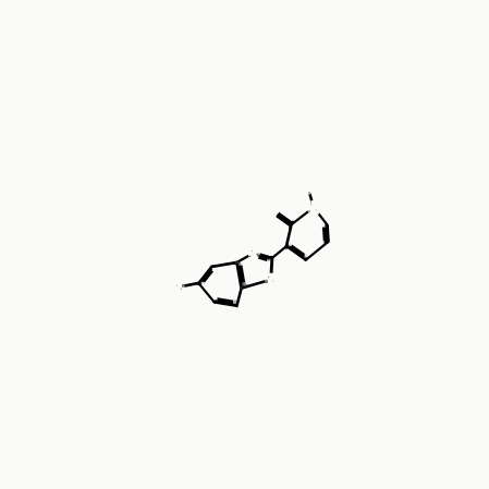 Cn1cccc(-c2nc3cc([N+](=O)[O-])ccc3[nH]2)c1=O